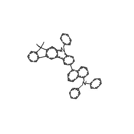 CC1(C)c2ccccc2-c2cc3c4cc(-c5cccc6c(N(c7ccccc7)c7ccccc7)cccc56)ccc4n(-c4ccccc4)c3cc21